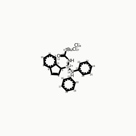 CC(C)(C)C(=O)[NH][Ti+2]([CH]1C=Cc2ccccc21)[SiH](c1ccccc1)c1ccccc1.[Cl-].[Cl-]